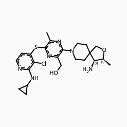 Cc1nc(N2CCC3(CC2)CO[C@@H](C)[C@H]3N)c(CO)nc1Sc1ccnc(NC2CC2)c1Cl